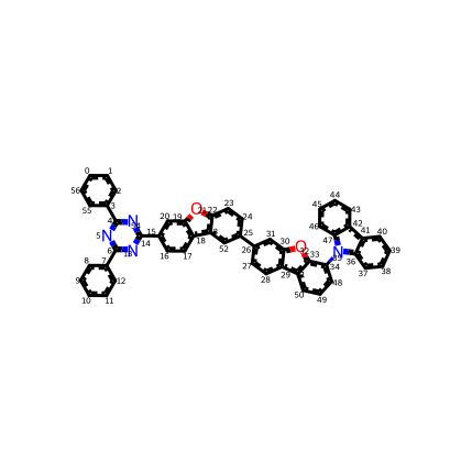 c1ccc(-c2nc(-c3ccccc3)nc(-c3ccc4c(c3)oc3ccc(-c5ccc6c(c5)oc5c(-n7c8ccccc8c8ccccc87)cccc56)cc34)n2)cc1